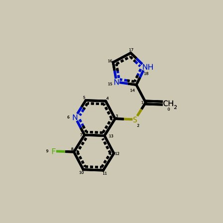 C=C(Sc1ccnc2c(F)cccc12)c1ncc[nH]1